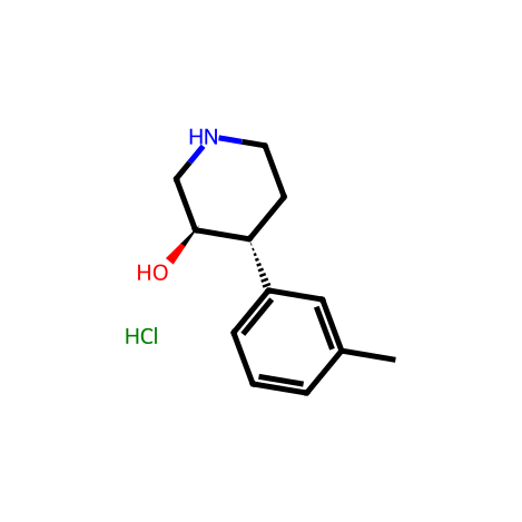 Cc1cccc([C@H]2CCNC[C@@H]2O)c1.Cl